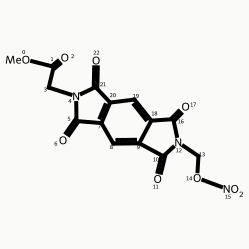 COC(=O)Cn1c(=O)c2cc3c(=O)n(CO[N+](=O)[O-])c(=O)c3cc2c1=O